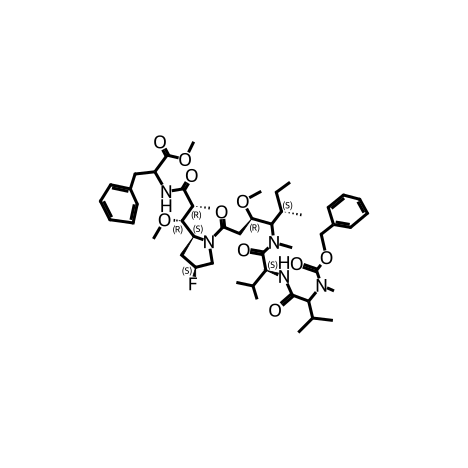 CC[C@H](C)C([C@@H](CC(=O)N1C[C@@H](F)C[C@H]1[C@H](OC)[C@@H](C)C(=O)NC(Cc1ccccc1)C(=O)OC)OC)N(C)C(=O)[C@@H](NC(=O)C(C(C)C)N(C)C(=O)OCc1ccccc1)C(C)C